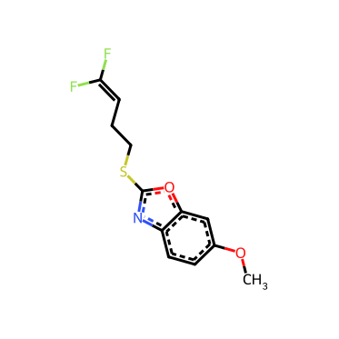 COc1ccc2nc(SCCC=C(F)F)oc2c1